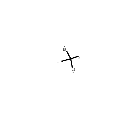 [CH2]CC(C)(I)CC